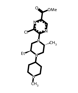 CC[C@H]1CN(c2ncc(C(=O)OC)nc2Cl)[C@H](C)CN1C1CCN(C)CC1